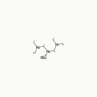 CN(C)CN(CN(C)C)C(C)(C)C